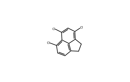 Clc1cc(Cl)c2c(Cl)ccc3c2c1CC3